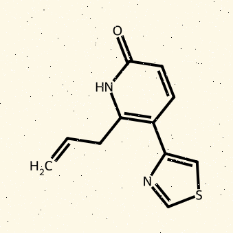 C=CCc1[nH]c(=O)ccc1-c1cscn1